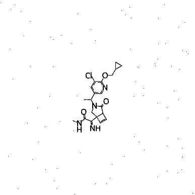 CNC(=O)C(=N)C12C=CC1C(=O)N(C(C)c1cnc(OCC3CC3)c(Cl)c1)C2